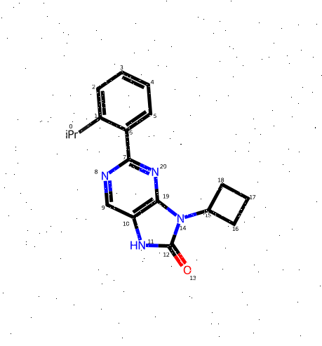 CC(C)c1ccccc1-c1ncc2[nH]c(=O)n(C3CCC3)c2n1